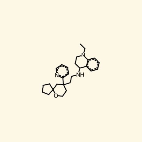 CCN1CCC(NCCC2(c3ccccn3)CCOC3(CCCC3)C2)c2ccccc21